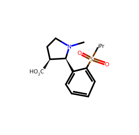 CC(C)S(=O)(=O)c1ccccc1[C@H]1[C@@H](C(=O)O)CCN1C